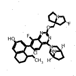 CCC1CCCc2cc(O)cc(-c3c(Cl)cc4c(N5C[C@H]6CC[C@@H](C5)N6)nc(OC[C@@]56CCCN5C[C@H](F)C6)nc4c3F)c21